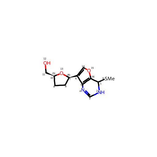 CSC1NC=Nc2c([C@H]3CC[C@@H](CO)O3)coc21